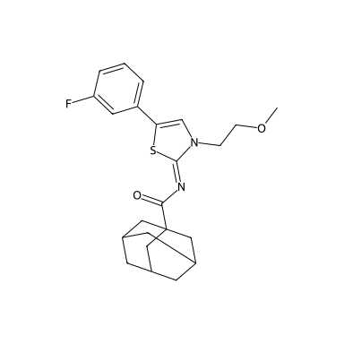 COCCn1cc(-c2cccc(F)c2)sc1=NC(=O)C12CC3CC(CC(C3)C1)C2